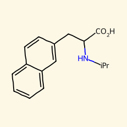 CC(C)NC(Cc1ccc2ccccc2c1)C(=O)O